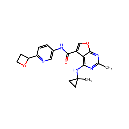 Cc1nc(NC2(C)CC2)c2c(C(=O)Nc3ccc(C4CCO4)nc3)coc2n1